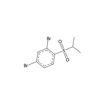 CC(C)S(=O)(=O)c1ccc(Br)cc1Br